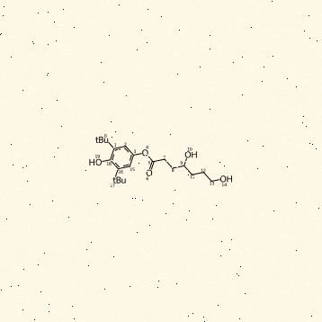 CC(C)(C)c1cc(OC(=O)CCC(O)CCCO)cc(C(C)(C)C)c1O